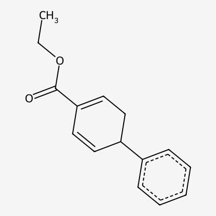 CCOC(=O)C1=CCC(c2ccccc2)C=C1